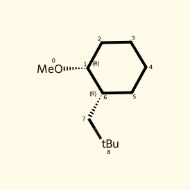 CO[C@@H]1CCCC[C@@H]1CC(C)(C)C